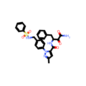 Cc1cc(C(=O)NC(Cc2ccccc2)C(=O)C(N)=O)n(-c2ccc(CNS(=O)(=O)c3ccccc3)cc2)n1